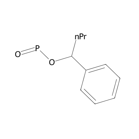 CCCC(OP=O)c1ccccc1